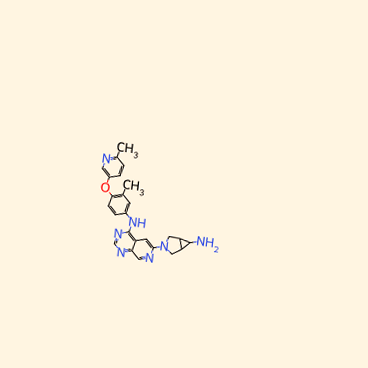 Cc1ccc(Oc2ccc(Nc3ncnc4cnc(N5CC6C(N)C6C5)cc34)cc2C)cn1